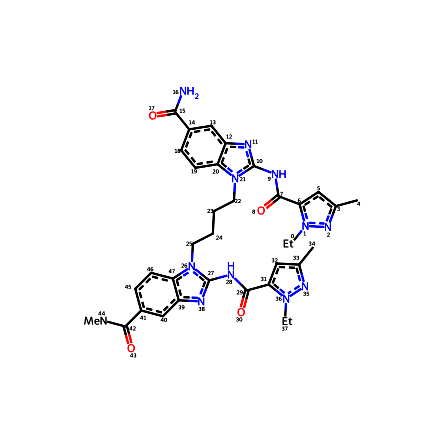 CCn1nc(C)cc1C(=O)Nc1nc2cc(C(N)=O)ccc2n1CCCCn1c(NC(=O)c2cc(C)nn2CC)nc2cc(C(=O)NC)ccc21